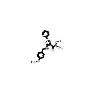 COc1ccc(CNc2nn(-c3ccccn3)nc2C(=O)N(C)OC)cc1